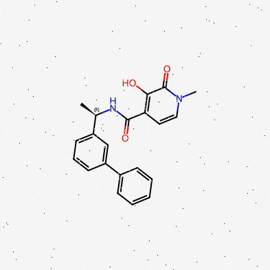 C[C@@H](NC(=O)c1ccn(C)c(=O)c1O)c1cccc(-c2ccccc2)c1